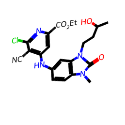 CCOC(=O)c1cc(Nc2ccc3c(c2)n(CCC(C)O)c(=O)n3C)c(C#N)c(Cl)n1